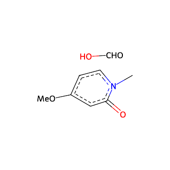 COc1ccn(C)c(=O)c1.O=CO